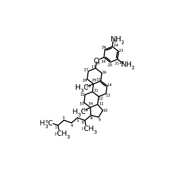 CC(C)CCCC(C)C1CCC2C3CC=C4CC(Oc5cc(N)cc(N)c5)CCC4(C)C3CCC12C